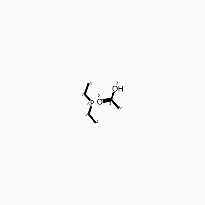 CC(=O)O.CC[P]CC